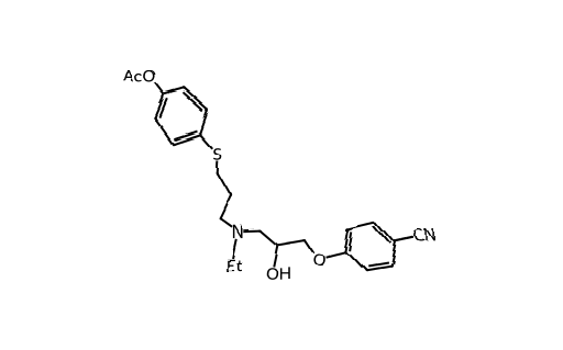 CCN(CCCSc1ccc(OC(C)=O)cc1)CC(O)COc1ccc(C#N)cc1